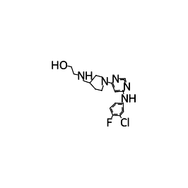 OCCNCC1CCN(c2cc(Nc3ccc(F)c(Cl)c3)ncn2)CC1